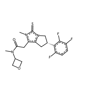 CN(C(=O)Cc1c2n(c(=S)n1C)C[C@H](c1c(F)ccc(F)c1F)C2)C1COC1